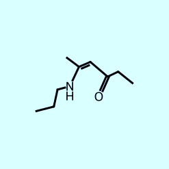 CCCN/C(C)=C\C(=O)CC